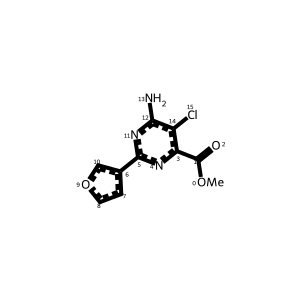 COC(=O)c1nc(-c2ccoc2)nc(N)c1Cl